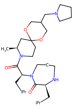 CC(C)C[C@@H]1NCCCN([C@@H](CC(C)C)C(=O)N2CCC3(C[C@@H]2C)OCC(CN2CCCC2)CO3)C1=O